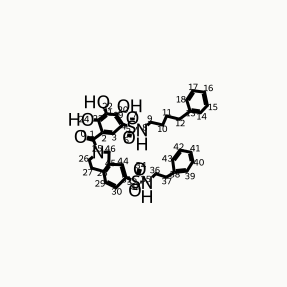 O=C(c1cc(S(=O)(=O)NCCCCc2ccccc2)c(O)c(O)c1O)N1CCc2ccc(S(=O)(=O)NCCc3ccccc3)cc2C1